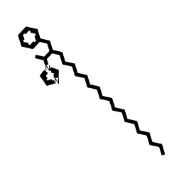 CCCCCCCCCCCCCCCCCCC(Cc1ccccc1)C(C)n1ccnc1